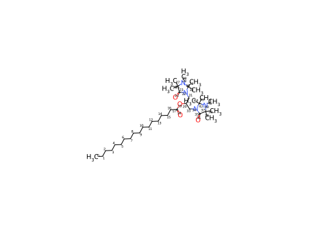 CCCCCCCCCCCCCCCCCC(=O)OC(CN1C(=O)C(C)(C)N(C)C1(C)C)CN1C(=O)C(C)(C)N(C)C1(C)C